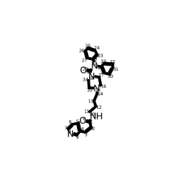 O=C(/C=C\c1cccnc1)NCCCCN1CCN(C(=O)N(c2ccccc2)c2ccccc2)CC1